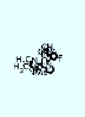 CNc1c(C)c(C)nc2cc([C@@H]3CCCCN3C(=O)c3cc(F)ccc3NS(C)(=O)=O)nn12